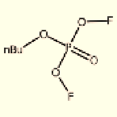 CCCCOP(=O)(OF)OF